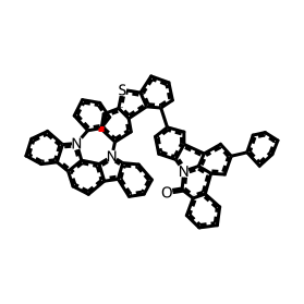 O=c1c2ccccc2c2cc(-c3ccccc3)cc3c4cc(-c5cccc6sc7ccc(-n8c9ccccc9c9ccc%10c%11ccccc%11n(-c%11ccccc%11)c%10c98)cc7c56)ccc4n1c23